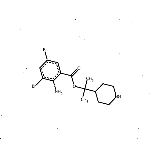 CC(C)(OC(=O)c1cc(Br)cc(Br)c1N)C1CCNCC1